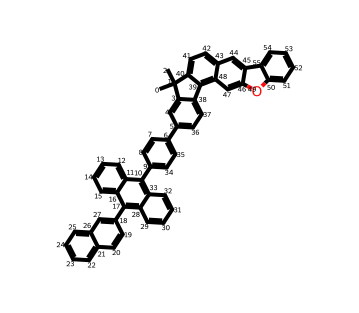 CC1(C)c2cc(-c3ccc(-c4c5ccccc5c(-c5ccc6ccccc6c5)c5ccccc45)cc3)ccc2-c2c1ccc1cc3c(cc21)oc1ccccc13